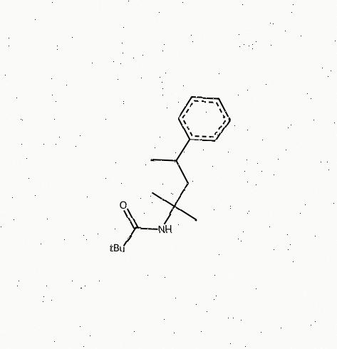 CC(CC(C)(C)NC(=O)C(C)(C)C)c1ccccc1